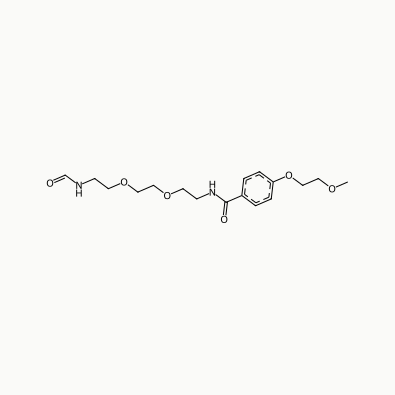 COCCOc1ccc(C(=O)NCCOCCOCCNC=O)cc1